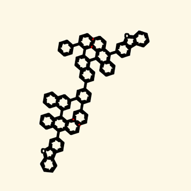 c1ccc(-c2ccc(-c3ccc4c(-c5c6ccccc6c(-c6ccc7c(c6)oc6ccccc67)c6ccccc56)c(-c5ccccc5-c5ccccc5)ccc4c3)cc2-c2cc(-c3c4ccccc4c(-c4ccc5c(c4)oc4ccccc45)c4ccccc34)c3ccccc3c2)cc1